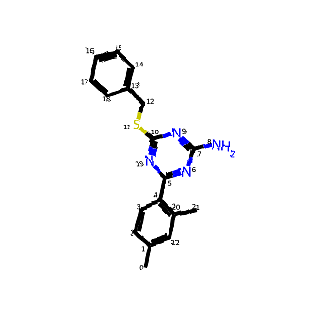 Cc1ccc(-c2nc(N)nc(SCc3ccccc3)n2)c(C)c1